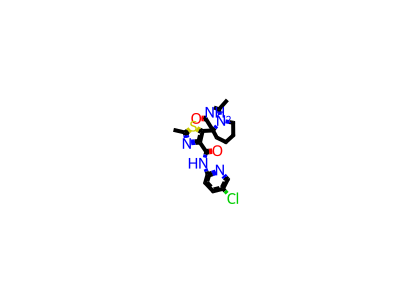 Cc1nc(C(=O)Nc2ccc(Cl)cn2)c(C2(C(N)=O)CCCCN2C(C)C)s1